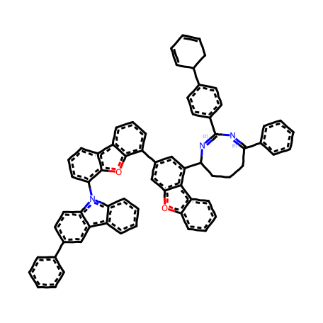 C1=CCC(c2ccc(C3=N/C(c4cc(-c5cccc6c5oc5c(-n7c8ccccc8c8cc(-c9ccccc9)ccc87)cccc56)cc5oc6ccccc6c45)CCC/C(c4ccccc4)=N\3)cc2)C=C1